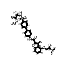 Cc1c(C(=O)Nc2ccc(-c3ccc(S(=O)(=O)NC(C(=O)OC(C)(C)C)C(C)C)cc3)cc2)oc2cccc(OCC(=O)N(C)C)c12